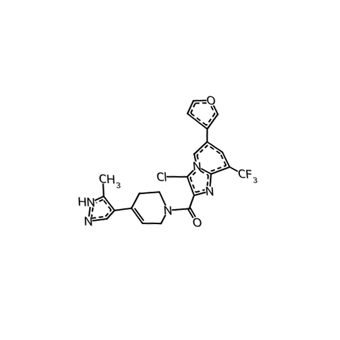 Cc1[nH]ncc1C1=CCN(C(=O)c2nc3c(C(F)(F)F)cc(-c4ccoc4)cn3c2Cl)CC1